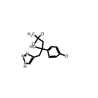 CC(Cl)(Cl)CC(O)(Cc1c[nH]nn1)c1ccc(Cl)cc1